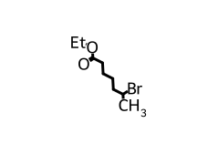 CCOC(=O)CCCCC(C)Br